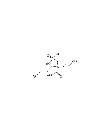 CCCCC(CCCC)(CP(=O)(O)O)C(=O)O